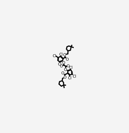 CC1(C)CCCC(COC(=O)c2c(Cl)c(Cl)cc(Cl)c2OC(=O)C(=O)Oc2c(Cl)cc(Cl)c(Cl)c2C(=O)OCC2CCCC(C)(C)C2)C1